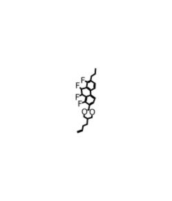 C=CCCC1COC(c2ccc3c(c2F)C(F)C(F)c2c-3ccc(CCC)c2F)OC1